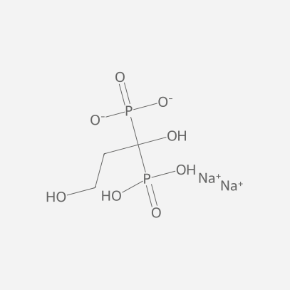 O=P([O-])([O-])C(O)(CCO)P(=O)(O)O.[Na+].[Na+]